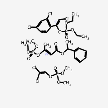 CCOP(=O)(OCC)O/C(=C\Cl)c1ccc(Cl)cc1Cl.COP(=O)(OC)O/C(C)=C/C(=O)OC(C)c1ccccc1.COP(=O)(OC)OC=C(Cl)Cl